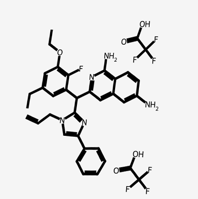 C=CCn1cc(-c2ccccc2)nc1C(c1cc2cc(N)ccc2c(N)n1)c1cc(CC)cc(OCC)c1F.O=C(O)C(F)(F)F.O=C(O)C(F)(F)F